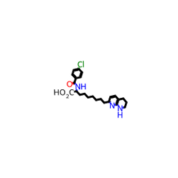 O=C(NC(CCCCCCCc1ccc2c(n1)NCCC2)C(=O)O)c1ccc(Cl)cc1